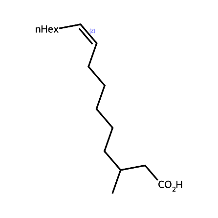 CCCCCC/C=C\CCCCCC(C)CC(=O)O